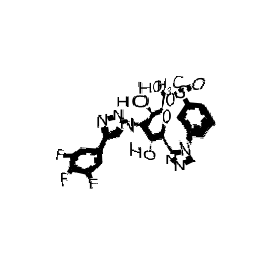 CS(=O)(=O)c1cccc(-n2cnnc2[C@@H]2O[C@H](CO)[C@H](O)[C@H](n3cc(-c4cc(F)c(F)c(F)c4)nn3)[C@H]2O)c1